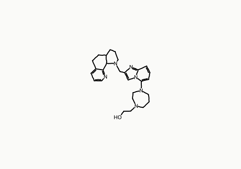 OCCN1CCCN(c2cccc3nc(CN4CCCC5CCc6cccnc6C54)cn23)CC1